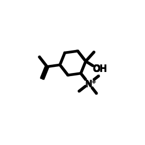 C=C(C)C1CCC(C)(O)C([N+](C)(C)C)C1